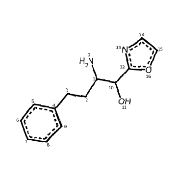 NC(CCc1ccccc1)C(O)c1ncco1